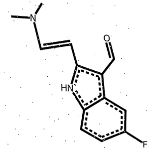 CN(C)C=Cc1[nH]c2ccc(F)cc2c1C=O